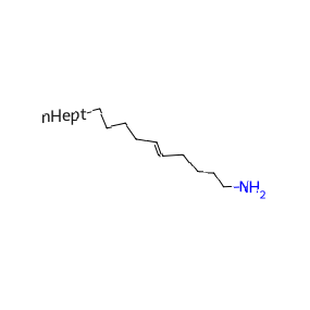 CCCCCCCCCCCC=CCCCCN